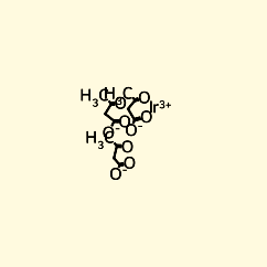 CC(=O)CC(=O)[O-].CC(=O)CC(=O)[O-].CC(=O)CC(=O)[O-].[Ir+3]